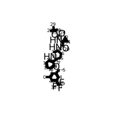 Cc1cc([C@@H](C)OC[C@@]2(c3ccccc3)CC[C@H](NC(=O)C3(NC(=O)OC(C)(C)C)CC3)CN2)cc(C(F)(F)F)c1